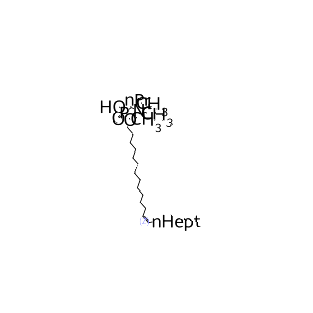 CCCCCCC/C=C\CCCCCCCCCCCCOP(=O)(O)C(CCC)[N+](C)(C)C